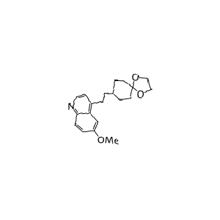 COc1ccc2nccc(CCC3CCC4(CC3)OCCO4)c2c1